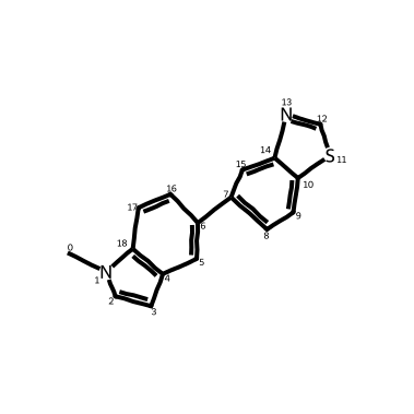 Cn1ccc2cc(-c3ccc4scnc4c3)ccc21